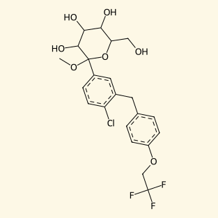 COC1(c2ccc(Cl)c(Cc3ccc(OCC(F)(F)F)cc3)c2)OC(CO)C(O)C(O)C1O